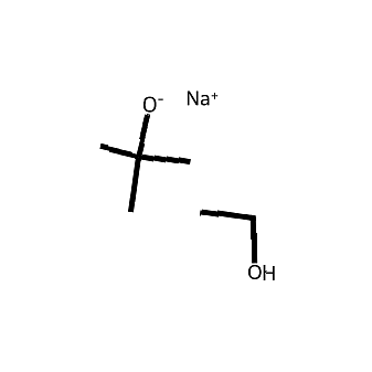 CC(C)(C)[O-].CCO.[Na+]